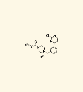 CCCC1CN(C(=O)OC(C)(C)C)CCN1Cc1cccc(-c2ccnc(Cl)n2)c1